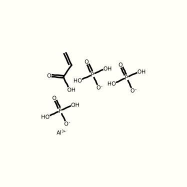 C=CC(=O)O.O=P([O-])(O)O.O=P([O-])(O)O.O=P([O-])(O)O.[Al+3]